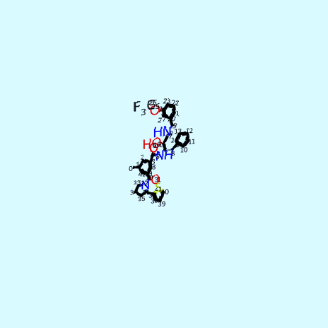 Cc1cc(C(=O)N[C@@H](Cc2ccccc2)[C@H](O)CNCc2cccc(OC(F)(F)F)c2)cc(C(=O)N2CCCC2c2cccs2)c1